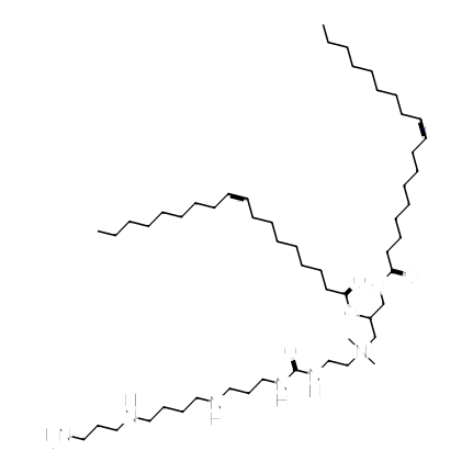 CCCCCCCC/C=C\CCCCCCCC(=O)OCC(C[N+](C)(C)CCNC(=O)NCCCNCCCCNCCCN)OC(=O)CCCCCCC/C=C\CCCCCCCC